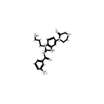 O=C(/N=c1\[nH]c2cc(N3CCOCC3=O)ccc2n1CCCO)c1cccc(C(F)(F)F)c1